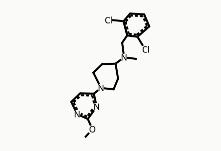 COc1nccc(N2CCC(N(C)Cc3c(Cl)cccc3Cl)CC2)n1